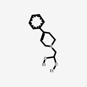 CCOC(CN1CC=C(c2ccccc2)CC1)OCC